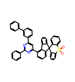 O=S1(=O)c2ccccc2C2(c3ccccc3-c3c(-c4cc(-c5cccc(-c6ccccc6)c5)nc(-c5ccccc5)n4)cccc32)c2ccccc21